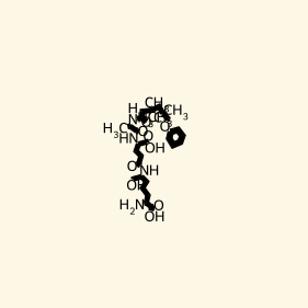 CC(NC(=O)CC(C)(C)CC(C)(C)COc1ccccc1)C(=O)NC(CCC(=O)NC(CO)CCCC(N)C(=O)O)C(=O)O